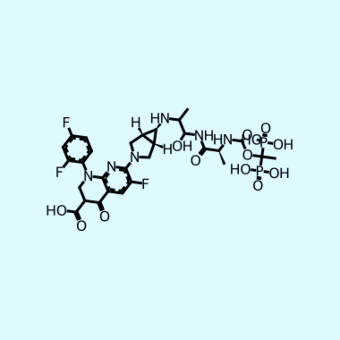 CC(N[C@H]1[C@@H]2CN(c3nc4c(cc3F)C(=O)C(C(=O)O)CN4c3ccc(F)cc3F)C[C@@H]21)C(O)NC(=O)[C@H](C)NC(=O)OC(C)(P(=O)(O)O)P(=O)(O)O